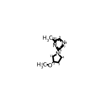 CO[C@@H]1CCN(c2cncc(C)n2)C1